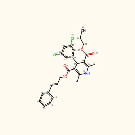 CC1=C(C(=O)OCC=Cc2ccccc2)C(c2cc(Cl)cc(Cl)c2)C(C(=O)OCCC#N)=C(C)N1